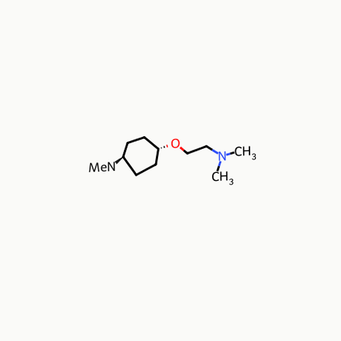 CN[C@H]1CC[C@H](OCCN(C)C)CC1